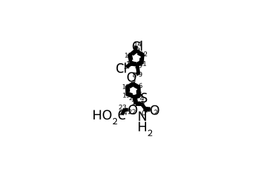 NC(=O)c1sc2cc(OCc3ccc(Cl)cc3Cl)ccc2c1OCC(=O)O